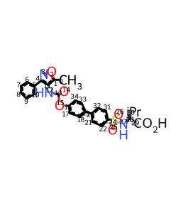 Cc1onc(-c2ccccc2)c1NC(=O)Oc1ccc(-c2ccc(S(=O)(=O)N[C@@H](C(=O)O)C(C)C)cc2)cc1